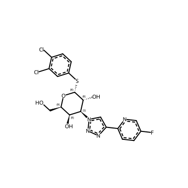 OC[C@H]1O[C@H](Sc2ccc(Cl)c(Cl)c2)[C@H](O)[C@@H](n2cc(-c3ccc(F)cn3)nn2)[C@H]1O